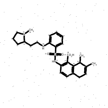 CC1=CCc2ccc(NS(=O)(=O)c3ccccc3NCCC3CCCN3C)c(C(=O)O)c2C1C